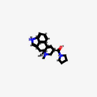 CN1C[C@H](C(=O)N2CCCC2)C=C2c3cccc4[nH]cc(c34)C[C@H]21